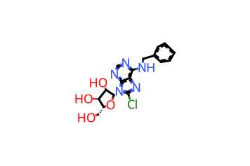 OC[C@H]1O[C@@H](n2c(Cl)nc3c(NCc4ccccc4)ncnc32)[C@H](O)[C@@H]1O